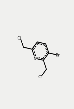 ClCc1ccc(Br)c(CCl)n1